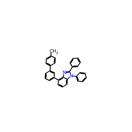 Cc1ccc(-c2cccc(-c3cccc4c3nc(-c3ccccc3)n4-c3ccccc3)c2)cc1